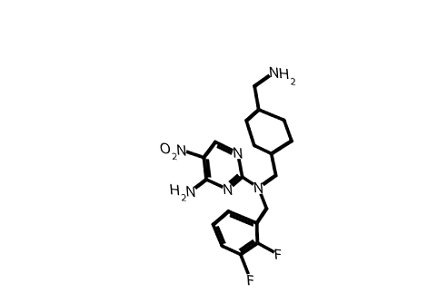 NCC1CCC(CN(Cc2cccc(F)c2F)c2ncc([N+](=O)[O-])c(N)n2)CC1